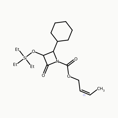 C/C=C\COC(=O)N1C(=O)C(O[Si](CC)(CC)CC)C1C1CCCCC1